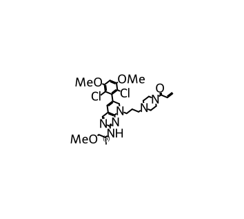 C=CC(=O)N1CCN(CCCN2CC(c3c(Cl)c(OC)cc(OC)c3Cl)=Cc3cnc(N[C@@H](C)COC)nc32)CC1